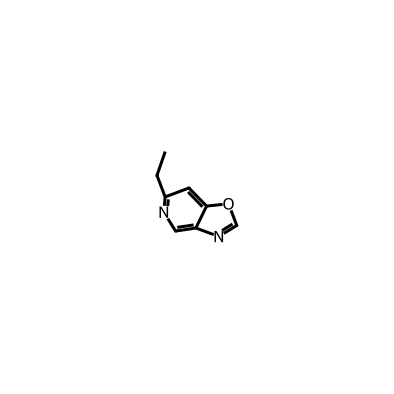 CCc1cc2ocnc2cn1